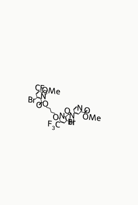 COC(=O)c1cc(NC(=O)c2nc(OCCCCOC(=O)c3nc(OC)c(C(F)(F)F)cc3Br)c(C(F)(F)F)cc2Br)ccn1